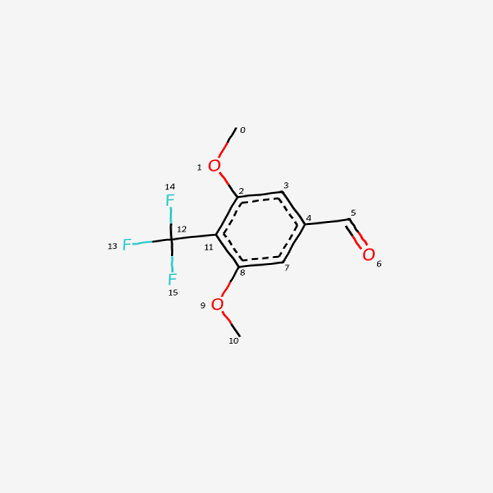 COc1cc(C=O)cc(OC)c1C(F)(F)F